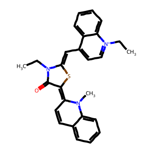 CCn1c(=O)/c(=C2\C=Cc3ccccc3N2C)s/c1=C\c1cc[n+](CC)c2ccccc12